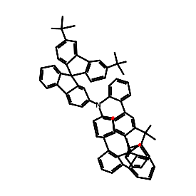 CC(C)(C)c1ccc2c(c1)-c1cc(C(C)(C)C)ccc1C21c2ccccc2-c2ccc(N(c3ccc(-c4cccc5c4C(C)(C)c4ccccc4-5)cc3)c3ccccc3-c3ccc4c(c3)C(C)(C)c3ccccc3-4)cc21